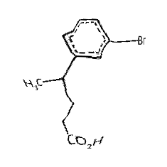 CC(CCC(=O)O)c1cccc(Br)c1